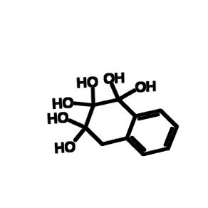 OC1(O)Cc2ccccc2C(O)(O)C1(O)O